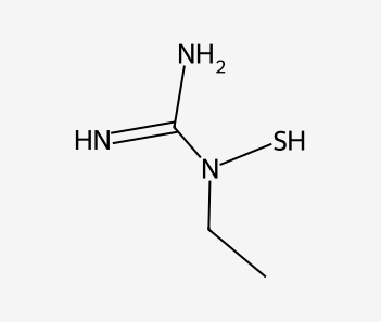 CCN(S)C(=N)N